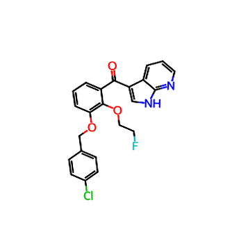 O=C(c1cccc(OCc2ccc(Cl)cc2)c1OCCF)c1c[nH]c2ncccc12